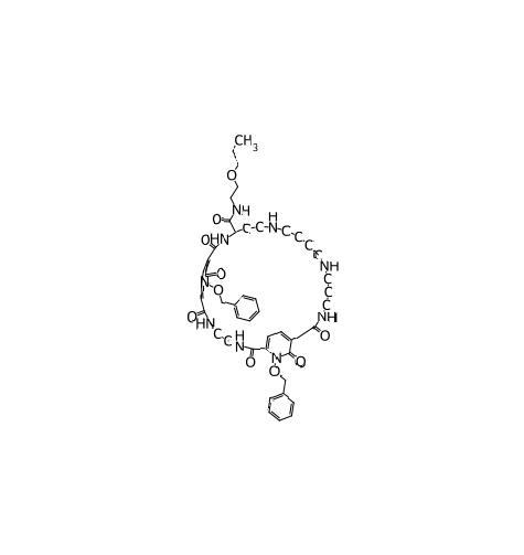 CCCOCCNC(=O)C1CCNCCCCNCCCNC(=O)c2ccc(n(OCc3ccccc3)c2=O)C(=O)NCCNC(=O)c2ccc(c(=O)n2OCc2ccccc2)C(=O)N1